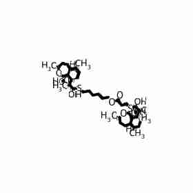 C[C@@H]([C@@H](O)SCCCCCCOC(=O)CCS[C@H](O)[C@H](C)[C@@H]1CC[C@@H](C)[C@@H]2CC[C@H](C)OC[C@]12OO)[C@@H]1CC[C@@H](C)[C@@H]2CC[C@H](C)OC[C@]12OO